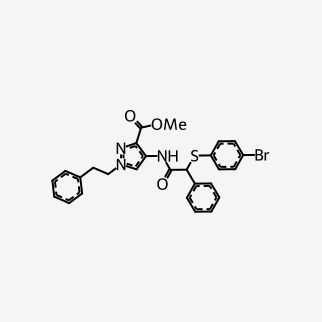 COC(=O)c1nn(CCc2ccccc2)cc1NC(=O)C(Sc1ccc(Br)cc1)c1ccccc1